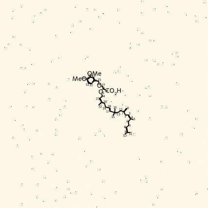 C=C(CC=C(C)CCC=C(C)C)CCC(C)(C)C=CCCC(C)=CCOC(COCc1ccc(OC)c(OC)c1)C(=O)O